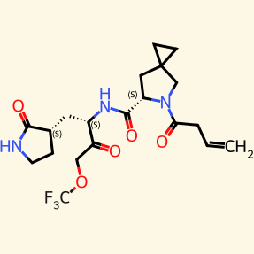 C=CCC(=O)N1CC2(CC2)C[C@H]1C(=O)N[C@@H](C[C@@H]1CCNC1=O)C(=O)COC(F)(F)F